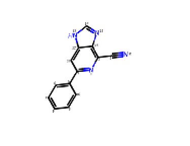 N#Cc1nc(-c2ccccc2)cc2[nH]cnc12